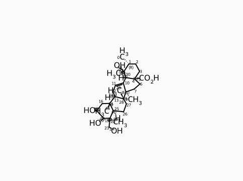 C[C@@H]1CC[C@]2(C(=O)O)CC[C@]3(C)C(=CC[C@@H]4[C@@]5(C)C[C@@H](O)[C@H](O)[C@](C)(CO)[C@@H]5CC[C@]43C)[C@@H]2[C@]1(C)O